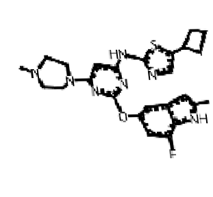 Cc1cc2cc(Oc3nc(Nc4ncc(C5CCC5)s4)cc(N4CCN(C)CC4)n3)cc(F)c2[nH]1